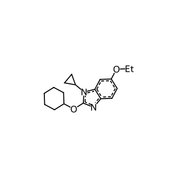 CCOc1ccc2nc(OC3CCCCC3)n(C3CC3)c2c1